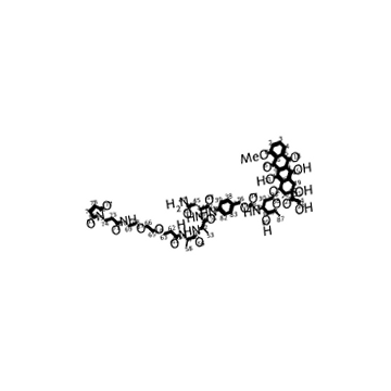 COc1cccc2c1C(=O)c1c(O)c3c(c(O)c1C2=O)C[C@@](O)(C(=O)CO)C[C@@H]3O[C@H]1C[C@H](NC(=O)OCc2ccc(NC(=O)[C@@H](CC(N)=O)NC(=O)[C@@H](C)NC(=O)[C@@H](C)NC(=O)CCOCCOCCNC(=O)CCN3C(=O)C=CC3=O)cc2)[C@H](O)[C@H](C)O1